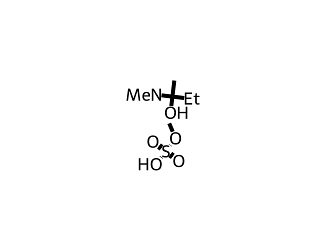 CCC(C)(O)NC.COS(=O)(=O)O